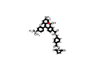 CN(C)c1ccc2c(c1)OC1=CC(N)C=CC1=C2c1ccc(C(=O)NCc2ccc(C(=O)ON3C(=O)CCC3=O)cc2)cc1C(=O)O